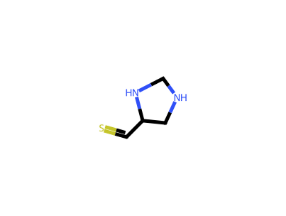 S=CC1CNCN1